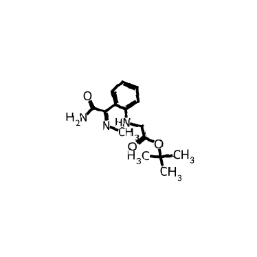 C/N=C(/C(N)=O)c1ccccc1NCC(=O)OC(C)(C)C